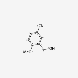 COc1ccc(C#N)cc1[CH]O